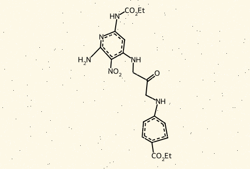 CCOC(=O)Nc1cc(NCC(=O)CNc2ccc(C(=O)OCC)cc2)c([N+](=O)[O-])c(N)n1